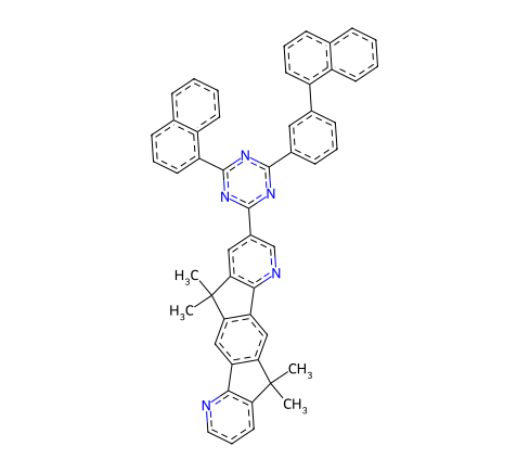 CC1(C)c2cc3c(cc2-c2ncccc21)C(C)(C)c1cc(-c2nc(-c4cccc(-c5cccc6ccccc56)c4)nc(-c4cccc5ccccc45)n2)cnc1-3